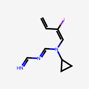 C=C/C(I)=C\N(/C=N/C=N)C1CC1